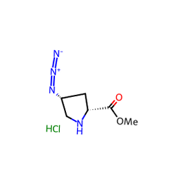 COC(=O)[C@H]1C[C@@H](N=[N+]=[N-])CN1.Cl